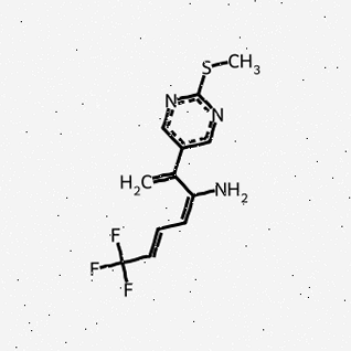 C=C(/C(N)=C\C=C\C(F)(F)F)c1cnc(SC)nc1